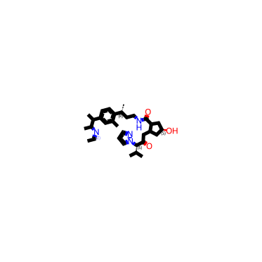 C/C=N\C(C)C(C)c1ccc([C@H](C)CCNC(=O)C2C[C@@H](O)CC2CC(=O)[C@H](C(C)C)n2cccn2)c(C)c1